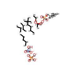 CCC.CCCC.CCCCC.CCCCC(C)(C)C.CCOC(C)=O.O=P([O-])([O-])[O-].O=P([O-])([O-])[O-].O=[N+]([O-])O.[Zn+2].[Zn+2].[Zn+2]